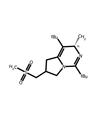 C[C@@H]1N=C(C(C)(C)C)N2CC(CS(C)(=O)=O)CC2=C1C(C)(C)C